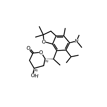 Cc1c2c(c(C(C)[C@@H]3C[C@@H](O)CC(=O)O3)c(C(C)C)c1N(C)C)OC(C)(C)C2